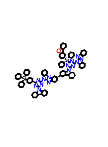 C1=Cc2c(n(-c3nc(-n4c5ccccc5n5c6ccccc6nc45)nc([Si](c4ccccc4)(c4ccccc4)c4ccc5oc6ccccc6c5c4)n3)c3ccc(-c4ccc5nc6n(-c7nc(-c8ccc([Si](c9ccccc9)(c9ccccc9)c9ccccc9)cc8)nc(-n8c9ccccc9c9ccccc98)n7)c7ccccc7n6c5c4)cc23)CC1